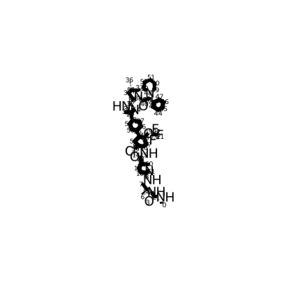 CNC(=O)N[C@@H](C)CNc1ccc(C(=O)Nc2cc(OC(F)(F)F)c(-c3ccc(-c4c[nH]c([C@@H]5C[C@H](C)CN5C(=O)[C@@H](c5ccccc5)N5CCCCC5)n4)cc3)cc2Cl)cn1